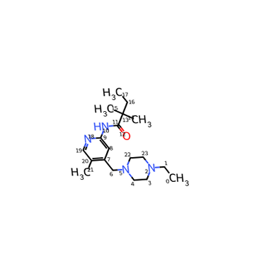 CCN1CCN(Cc2cc(NC(=O)C(C)(C)CC)ncc2C)CC1